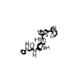 CC1NC=C(NC(=O)CNC2CCCC2)C=C1NC(=O)c1cnn2cc(-c3cnn4c3OCCC4)sc12